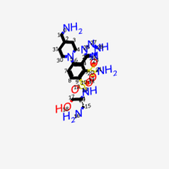 NCC1CCN(c2ccc(S(=O)(=O)N[C@H](CN)CO)c(S(N)(=O)=O)c2-c2nn[nH]n2)CC1